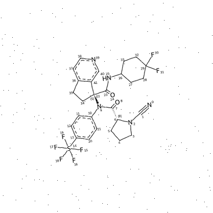 N#CN1CCC[C@@H]1C(=O)N(c1ccc(S(F)(F)(F)(F)F)cc1)[C@@]1(C(=O)NC2CCC(F)(F)CC2)CCc2ccncc21